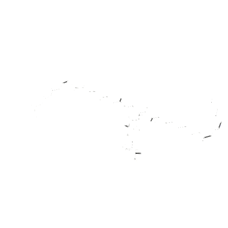 CCCC/C=C\C/C=C\CCCCCCCC(=O)O[C@H](COC(=O)CCCCCCC/C=C\CCCCCCC)COP(=O)(O)OC[C@H](N)C(=O)O